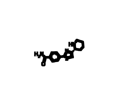 NC(=O)c1ccc(-c2nc([C@H]3CCCCN3)cs2)cc1